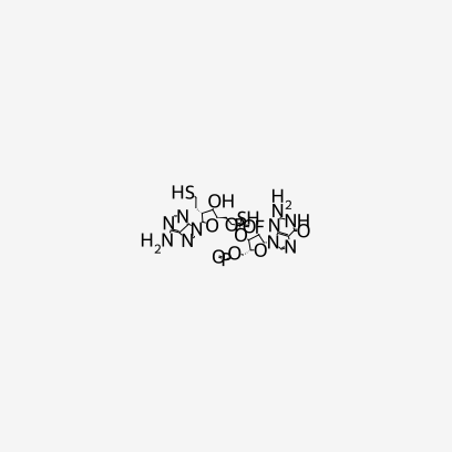 Nc1nc2c(ncn2[C@@H]2O[C@H](COP=O)[C@@H](O[P@](=O)(S)OC[C@H]3O[C@@H](n4cnc5c(N)ncnc54)[C@H](CCS)[C@@H]3O)[C@H]2F)c(=O)[nH]1